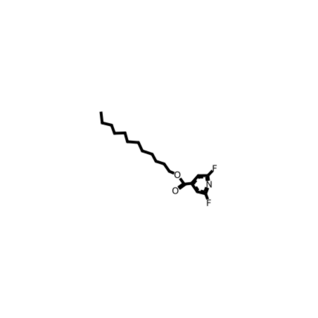 CCCCCCCCCCCCOC(=O)c1cc(F)nc(F)c1